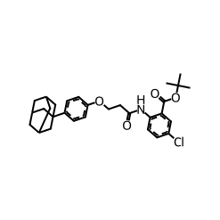 CC(C)(C)OC(=O)c1cc(Cl)ccc1NC(=O)CCOc1ccc(C23CC4CC(CC(C4)C2)C3)cc1